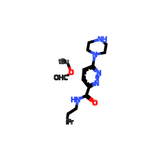 CC(C)(C)OC=O.CC(C)CCNC(=O)c1ccc(N2CCNCC2)nn1